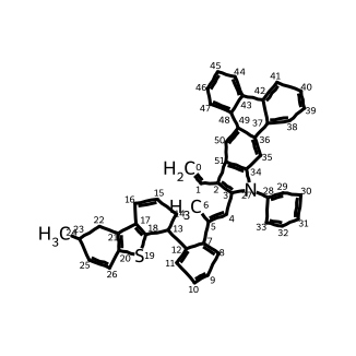 C=Cc1c(/C=C(\C)c2ccccc2C2CC=Cc3c2sc2c3CC(C)C=C2)n(-c2ccccc2)c2cc3c4ccccc4c4ccccc4c3cc12